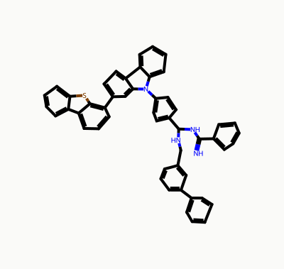 N=C(NC(NCc1cccc(-c2ccccc2)c1)c1ccc(-n2c3ccccc3c3ccc(-c4cccc5c4sc4ccccc45)cc32)cc1)c1ccccc1